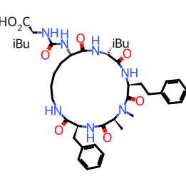 CC[C@H](C)[C@H](NC(=O)N[C@@H]1CCCCNC(=O)[C@H](Cc2ccccc2)NC(=O)[C@H](C)N(C)C(=O)[C@H](CCc2ccccc2)NC(=O)[C@H]([C@@H](C)CC)NC1=O)C(=O)O